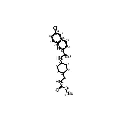 CC(C)(C)OC(=O)NCC1CCC(NC(=O)c2ccc3cc(Cl)ccc3n2)CC1